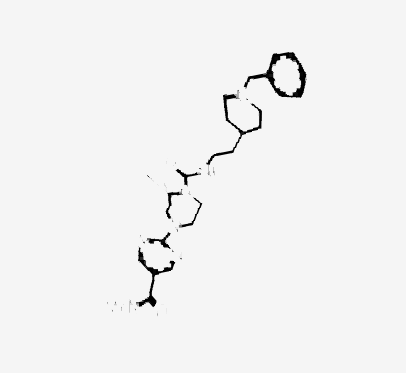 CNC(=O)c1cnc(N2CCN(C(=O)NCCC3CCN(Cc4ccccc4)CC3)[C@H](C)C2)nc1